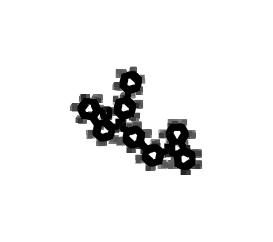 c1ccc(-c2ccc(N(c3ccc(-c4cccc(-n5c6ccccc6c6ccccc65)c4)cc3)c3cccc4c3oc3ccccc34)cc2)cc1